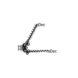 CCCCCCCCCCCCCCCCCCCCCCCCCCOC(=O)c1ccc(O)c(S(=O)(=O)c2cc(C(=O)OCCCCCCCCCCCCCCCCCCCCCCCCCC)ccc2O)c1